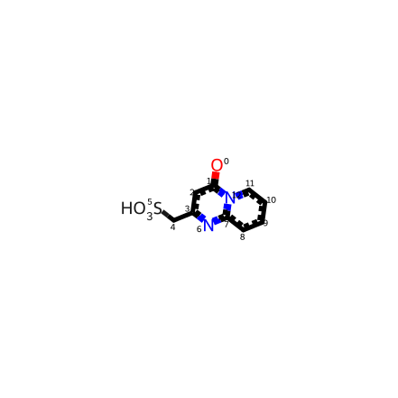 O=c1cc(CS(=O)(=O)O)nc2ccccn12